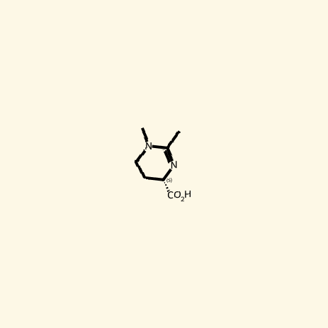 CC1=N[C@H](C(=O)O)CCN1C